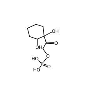 O=C(COP(=O)(O)O)C1(O)CCCCC1O